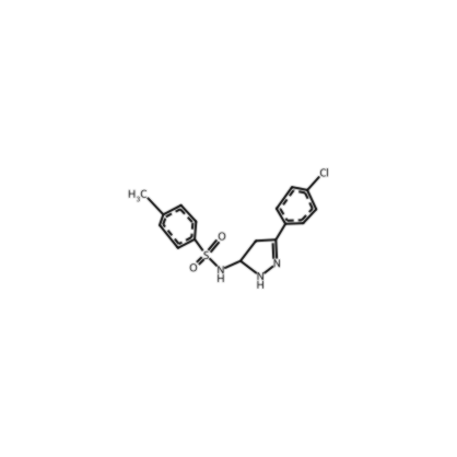 Cc1ccc(S(=O)(=O)NC2CC(c3ccc(Cl)cc3)=NN2)cc1